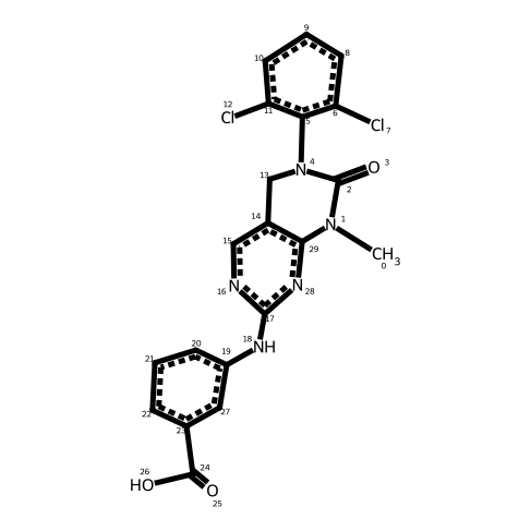 CN1C(=O)N(c2c(Cl)cccc2Cl)Cc2cnc(Nc3cccc(C(=O)O)c3)nc21